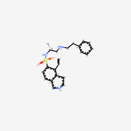 C=Cc1c(S(=O)(=O)N[C@H](C)CNCCc2ccccc2)ccc2cnccc12